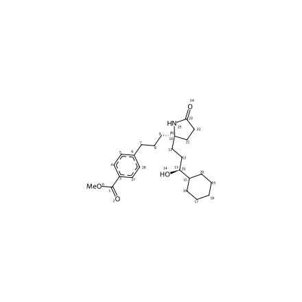 COC(=O)c1ccc(CCC[C@@]2(CC[C@H](O)C3CCCCC3)CCC(=O)N2)cc1